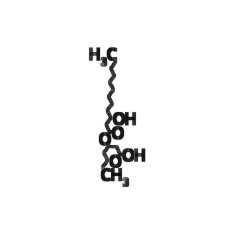 CCCCCCCCCC(O)CC(=O)OC(CCCC)CC(=O)O